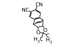 CC1(C)OC2C3C=CC(c4cc(C#N)c(C#N)cc43)C2O1